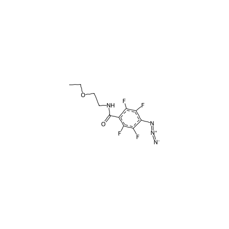 CCOCCNC(=O)c1c(F)c(F)c(N=[N+]=[N-])c(F)c1F